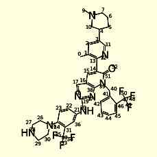 Cc1cc(C2CCCN(C)C2)cnc1-c1cc2cnc(Nc3ccc(N4CCNCC4)c(C(F)(F)F)c3)nc2n(Cc2ccccc2C(F)(F)F)c1=O